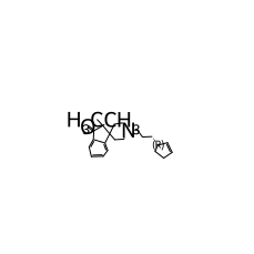 CC1(C)C(=O)c2ccccc2C12CCN(CCC[C@@H]1C=CCC1)CC2